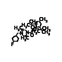 Cc1cc(C(C)(C)C)c(OCC(=O)N2C[C@H](C)N(Cc3ccc(F)cc3)C[C@H]2C)c(C(C)(C)C)c1